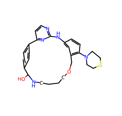 OC1NCCCCOCc2cc(ccc2N2CCSCC2)Nc2nccc(n2)-c2ccc1cc2